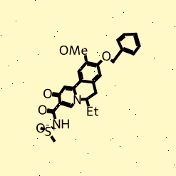 CCC1Cc2cc(OCc3ccccc3)c(OC)cc2-c2cc(=O)c(C(=O)N[S+](C)[O-])cn21